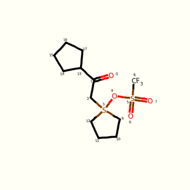 O=C(CS1(OS(=O)(=O)C(F)(F)F)CCCC1)C1CCCC1